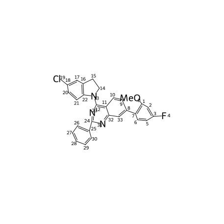 COc1cc(F)ccc1-c1ccc2c(N3CCc4cc(Cl)ccc43)nc(-c3ccccc3)nc2c1